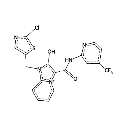 O=C(Nc1cc(C(F)(F)F)ccn1)c1c(O)n(Cc2cnc(Cl)s2)c2cccc[n+]12